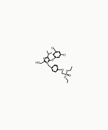 CCOP(=O)(COc1ccc(Cn2c(CO)nc(C(C)C)c2Sc2cc(Cl)cc(Cl)c2)cc1)OCC